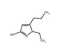 CCCc1cc(O)nn1CC